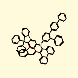 c1ccc(-c2ccc(-c3ccc(N(c4ccc5c(c4)-c4ccccc4C5(c4ccccc4)c4ccccc4)c4c(-c5ccc6ccccc6c5)c5ccccc5c5ccccc45)cc3-c3ccccc3)cc2)cc1